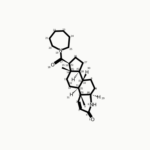 C[C@]12C=CC(=O)N[C@@H]1CC[C@@H]1[C@@H]2CC[C@]2(C)[C@@H](C(=O)N3CCCCCC3)CC[C@@H]12